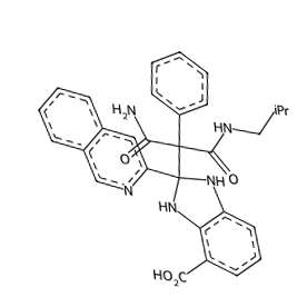 CC(C)CNC(=O)C(C(N)=O)(c1ccccc1)C1(c2cc3ccccc3cn2)Nc2cccc(C(=O)O)c2N1